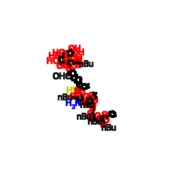 CCCCOCC1O[C@@H](OC(=O)[C@]23CCC(C)(C)CC2C2=CCC4C5(C)CC[C@H](O[C@@H]6OC(C(=O)OCCCC)[C@@H](O)C(O[C@@H]7OC[C@@H](O)C(O)C7O)C6O[C@@H]6OC(CO)[C@H](O)C(O)C6O)C(C)(C=O)C5CCC4(C)C2(C)CC3OS)C(O[C@@H]2OC(C)[C@H](OOC[C@@H](OCCCC)C(O[C@@H]3OCC4(COCCCC)O[C@@H](c5ccccc5)OC34)C(C)OCCCC)C3OCC(C)(C)OC32)C(OCCCC)[C@H]1N